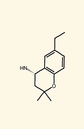 CCc1ccc2c(c1)[C@@H]([NH])CC(C)(C)O2